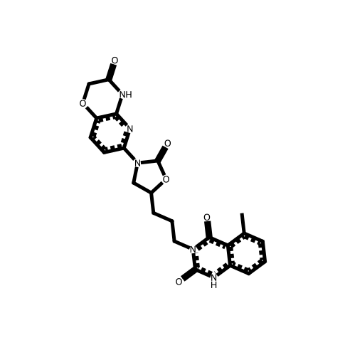 Cc1cccc2[nH]c(=O)n(CCCC3CN(c4ccc5c(n4)NC(=O)CO5)C(=O)O3)c(=O)c12